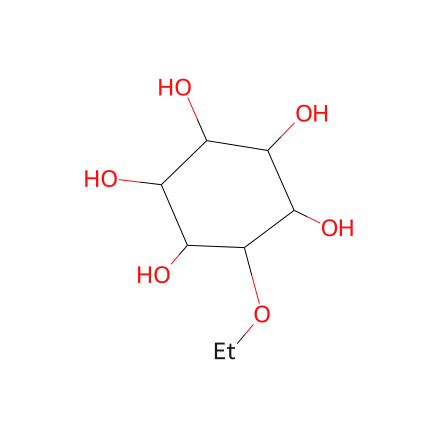 CCOC1C(O)C(O)C(O)C(O)C1O